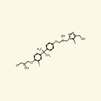 CC(C)(c1ccc(OC[C@H](O)Cn2nnc(CO)c2I)cc1)c1ccc(OC[C@@H](O)CCl)c(I)c1